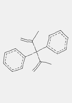 C=C(C)C(C(=C)C)(c1ccccc1)c1ccccc1